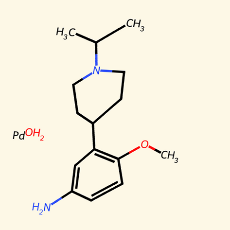 COc1ccc(N)cc1C1CCN(C(C)C)CC1.O.[Pd]